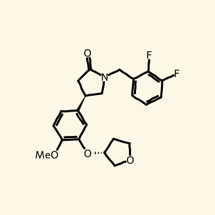 COc1ccc([C@H]2CC(=O)N(Cc3cccc(F)c3F)C2)cc1O[C@@H]1CCOC1